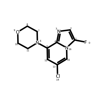 Fc1cnc2c(N3CCOCC3)cc(Cl)cn12